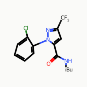 CCC(C)NC(=O)c1cc(C(F)(F)F)nn1-c1ccccc1Cl